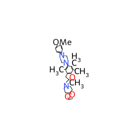 COc1ccc(N2CCN(c3c(C)c(C)c4c(c3C)CC(C)(CN3CCC5(CC3)OCCO5)O4)CC2)cc1